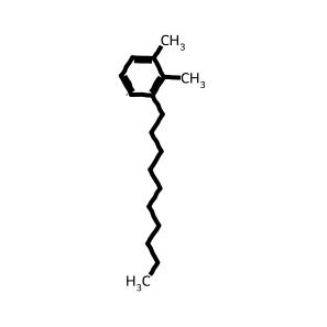 CCCCCCCCCCc1[c]ccc(C)c1C